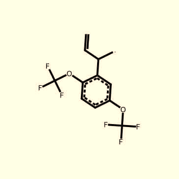 [CH2]C(C=C)c1cc(OC(F)(F)F)ccc1OC(F)(F)F